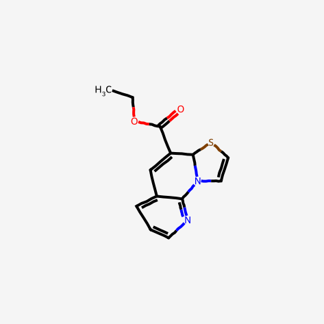 CCOC(=O)C1=Cc2cccnc2N2C=CSC12